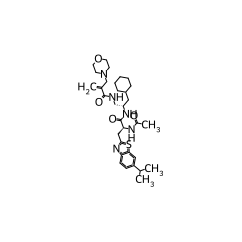 C=C(CN1CCOCC1)C(=O)NC[C@H](CC1CCCCC1)NC(=O)[C@H](Cc1nc2ccc(C(C)C)cc2s1)NC(C)=O